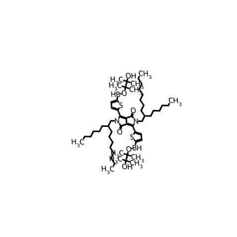 CCCCCCCCC(CCCCCC)CN1C(=O)C2=C(c3ccc(BOC(C)(C)C(C)(C)O)s3)N(CC(CCCCCC)CCCCCCCC)C(=O)C2=C1c1ccc(BOC(C)(C)C(C)(C)O)s1